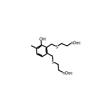 CCCCCCCCCCCCSCc1ccc(C)c(O)c1CSCCCCCCCCCCCC